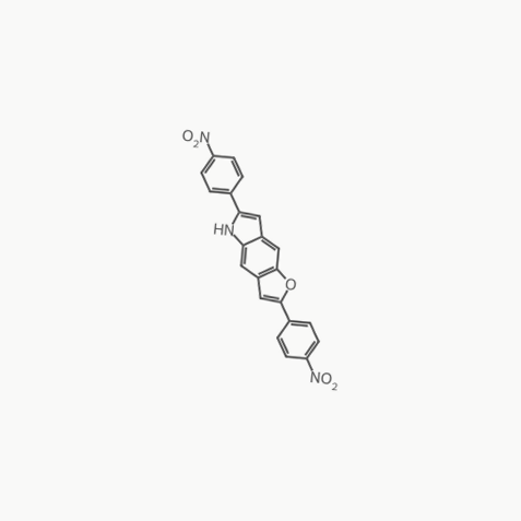 O=[N+]([O-])c1ccc(-c2cc3cc4oc(-c5ccc([N+](=O)[O-])cc5)cc4cc3[nH]2)cc1